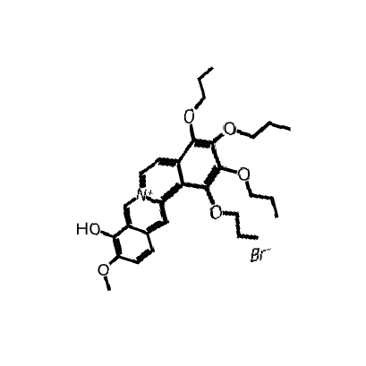 CCCOc1c(OCCC)c(OCCC)c2c(cc[n+]3cc4c(O)c(OC)ccc4cc23)c1OCCC.[Br-]